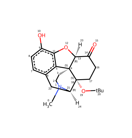 CN1CC[C@]23c4c5ccc(O)c4O[C@H]2C(=O)CC[C@@]3(OC(C)(C)C)[C@H]1C5